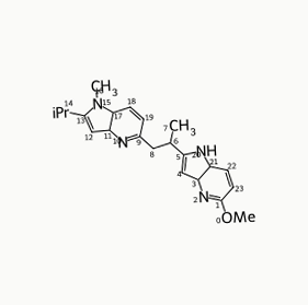 COC1=NC2C=C(C(C)CC3=NC4C=C(C(C)C)N(C)C4C=C3)NC2C=C1